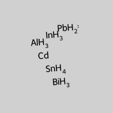 [AlH3].[BiH3].[Cd].[InH3].[PbH2].[SnH4]